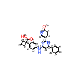 COc1ccc(-c2nc(Nc3ccc(C4(C(=O)O)CCC4)cc3)cc(-c3ccccc3)n2)cn1